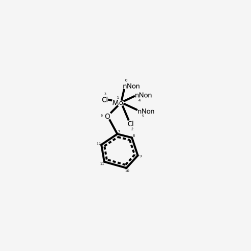 CCCCCCCC[CH2][Mo]([Cl])([Cl])([CH2]CCCCCCCC)([CH2]CCCCCCCC)[O]c1ccccc1